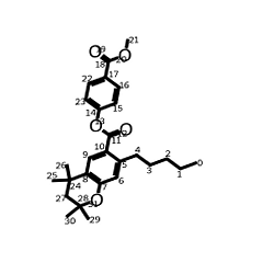 CCCCCc1cc2c(cc1C(=O)Oc1ccc(C(=O)OC)cc1)C(C)(C)CC(C)(C)O2